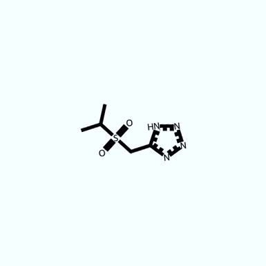 CC(C)S(=O)(=O)Cc1nnn[nH]1